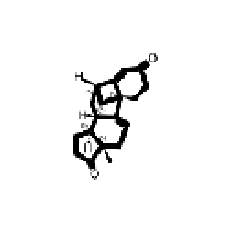 C[C@]12CC=C3[C@@H](C[C@H]4C[C@@]35CCC(=O)C=C45)[C@@H]1CCC2=O